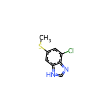 CSc1cc(Cl)c2nc[nH]c2c1